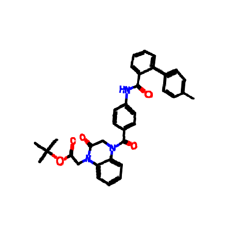 Cc1ccc(-c2ccccc2C(=O)Nc2ccc(C(=O)N3CC(=O)N(CC(=O)OC(C)(C)C)c4ccccc43)cc2)cc1